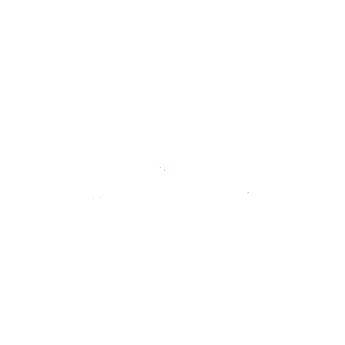 N#Cc1ccc(COc2cccc(OCC3CCNCC3)n2)c(F)c1